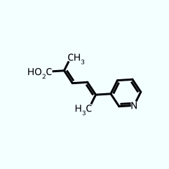 C/C(=C\C=C(/C)c1cccnc1)C(=O)O